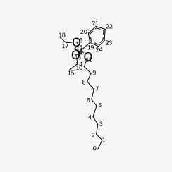 CCCCCCCCCCCO[Si](OCC)(OCC)c1ccccc1